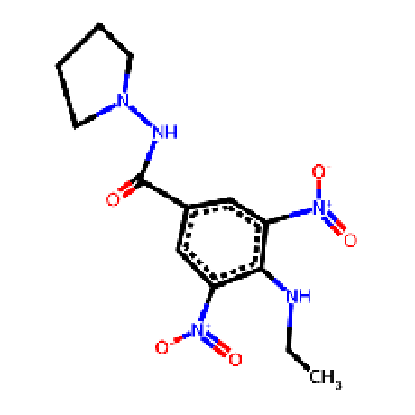 CCNc1c([N+](=O)[O-])cc(C(=O)NN2CCCC2)cc1[N+](=O)[O-]